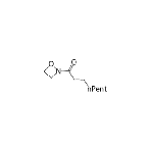 CCCCCCCC(=O)N1CCO1